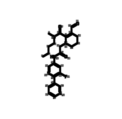 CCCCN(C)C(=O)C1=C(C=O)CCCN1CC(=O)Nc1cnc(-c2cccnc2)c(F)c1